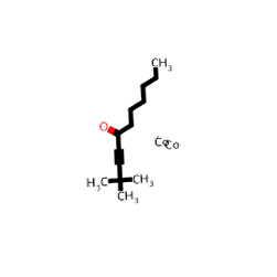 CCCCCCC(=O)C#CC(C)(C)C.[Co].[Co]